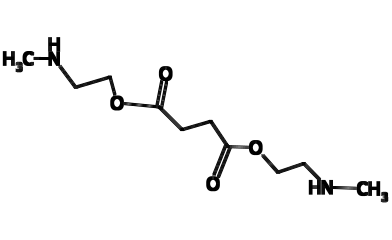 CNCCOC(=O)CCC(=O)OCCNC